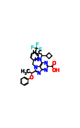 CC(Oc1ccccc1)c1nc2nc(C(=O)O)nc(NC(C)C3CCC3)c2n1Cc1ccc(C(F)(F)F)cc1